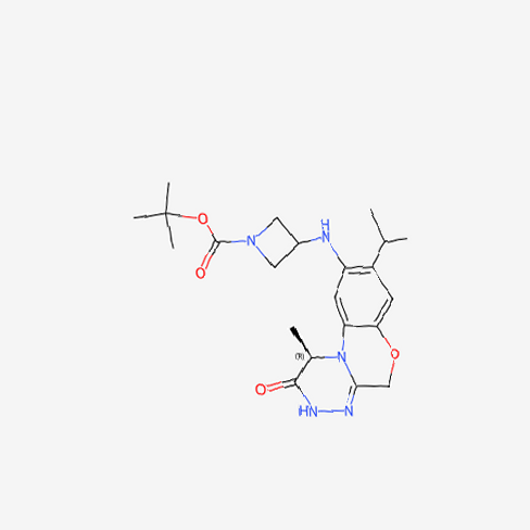 CC(C)c1cc2c(cc1NC1CN(C(=O)OC(C)(C)C)C1)N1C(=NNC(=O)[C@H]1C)CO2